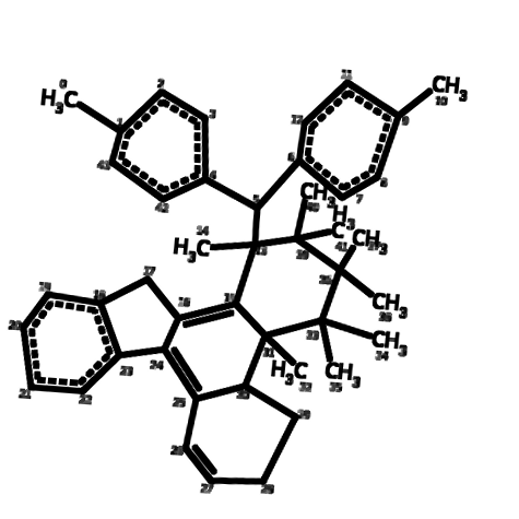 Cc1ccc(C(c2ccc(C)cc2)C2(C)C3=C4Cc5ccccc5C4=C4C=CCCC4C3(C)C(C)(C)C(C)(C)C2(C)C)cc1